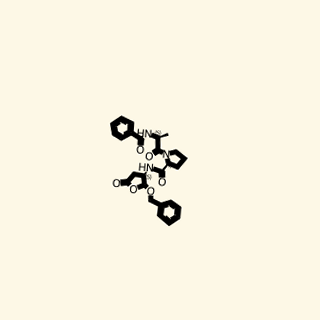 C[C@H](NC(=O)c1ccccc1)C(=O)N1CCC[C@H]1C(=O)N[C@H]1CC(=O)OC1OCc1ccccc1